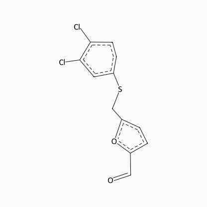 O=Cc1ccc(CSc2ccc(Cl)c(Cl)c2)o1